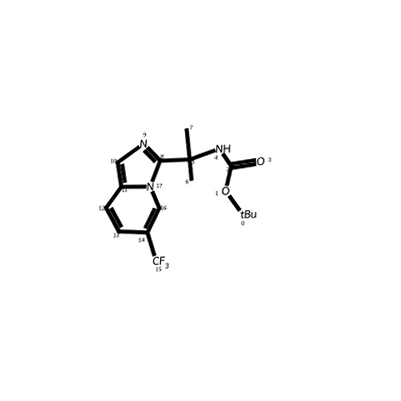 CC(C)(C)OC(=O)NC(C)(C)c1ncc2ccc(C(F)(F)F)cn12